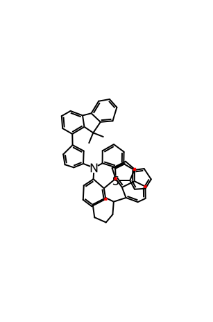 CC1(C)c2ccccc2-c2cccc(-c3cccc(N(c4ccccc4-c4cccc5cccc(C6CCCCC6)c45)c4cccc5c4sc4ccccc45)c3)c21